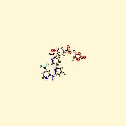 Cc1cc(Nc2cc(C(F)F)ccn2)nc(-c2ccc(C(C)(O)[C@H]3CC[C@H](C(=O)OCc4oc(=O)oc4C)CC3)nc2)c1